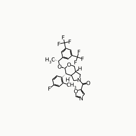 Cc1cc(F)ccc1[C@@H]1[C@@H](O[C@H](C)c2cc(C(F)(F)F)cc(C(F)(F)F)c2)OC[C@@H]2CN(C(=O)c3cnco3)C[C@H]21